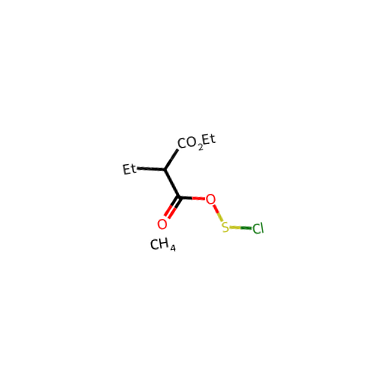 C.CCOC(=O)C(CC)C(=O)OSCl